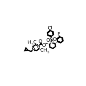 C[C@@H]1CN(CC2CC2)C[C@H](C)N1C(=O)OC[C@H]1CCC[C@@H](c2cccc(F)c2)N1S(=O)(=O)c1ccc(Cl)cc1